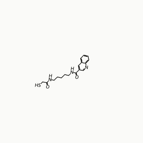 O=C(CS)NCCCCCNC(=O)c1cnc2ccccc2c1